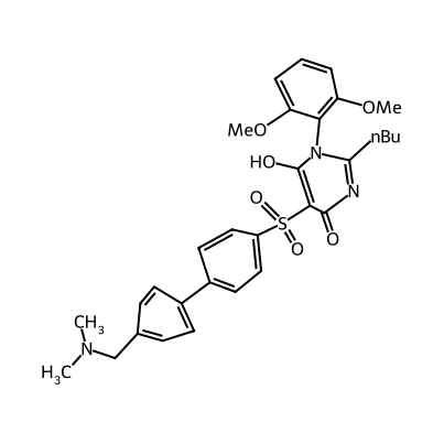 CCCCc1nc(=O)c(S(=O)(=O)c2ccc(-c3ccc(CN(C)C)cc3)cc2)c(O)n1-c1c(OC)cccc1OC